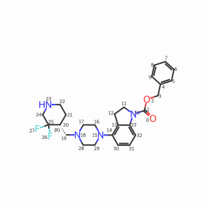 O=C(OCc1ccccc1)N1CCc2c(N3CCN(C[C@H]4CCNCC4(F)F)CC3)cccc21